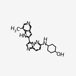 Cc1cncc2cc(-c3cnc4ccc(NC5CCC(O)CC5)nn34)[nH]c12